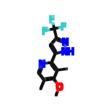 COc1c(C)cnc(-c2cc(C(F)(F)F)n[nH]2)c1C